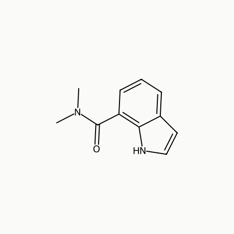 CN(C)C(=O)c1cccc2cc[nH]c12